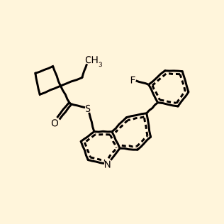 CCC1(C(=O)Sc2ccnc3ccc(-c4ccccc4F)cc23)CCC1